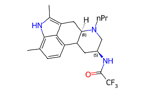 CCCN1C[C@@H](NC(=O)C(F)(F)F)CC2c3ccc(C)c4[nH]c(C)c(c34)C[C@H]21